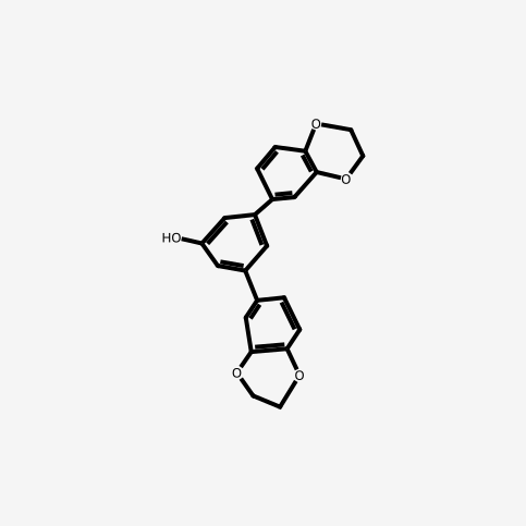 Oc1cc(-c2ccc3c(c2)OCCO3)cc(-c2ccc3c(c2)OCCO3)c1